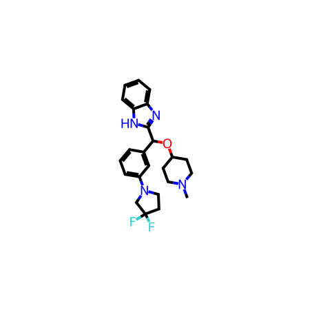 CN1CCC(OC(c2cccc(N3CCC(F)(F)C3)c2)c2nc3ccccc3[nH]2)CC1